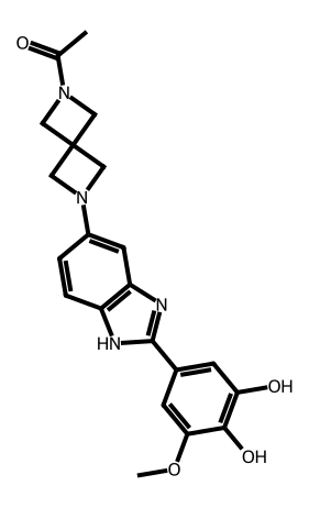 COc1cc(-c2nc3cc(N4CC5(CN(C(C)=O)C5)C4)ccc3[nH]2)cc(O)c1O